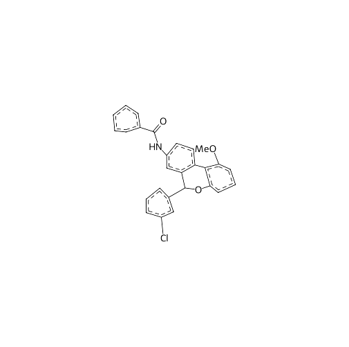 COc1cccc2c1-c1ccc(NC(=O)c3ccccc3)cc1C(c1cccc(Cl)c1)O2